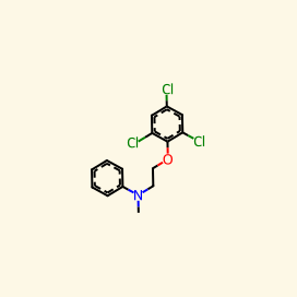 CN(CCOc1c(Cl)cc(Cl)cc1Cl)c1ccccc1